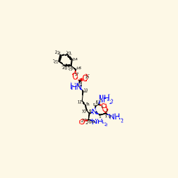 NC(=O)CN(CC(N)=O)C(CCCCNC(=O)OCc1ccccc1)C(N)=O